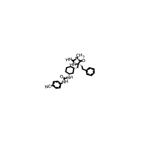 CN1C(=N)N[C@](CCc2ccccc2)(C[C@H]2CCC[C@@H](NC(=O)Nc3ccc(C#N)cc3)C2)C1=O